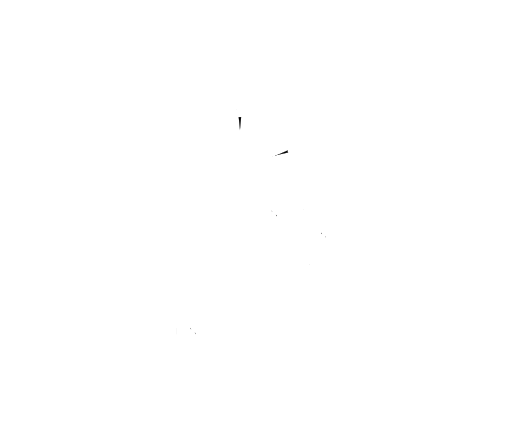 NC=CCc1cn([C@@H]2O[C@H](CO)[C@@H](O)[C@H]2O)c(=O)[nH]c1=O